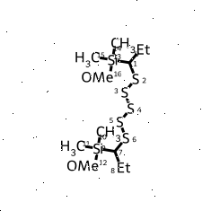 CCC(SSSSSC(CC)[Si](C)(C)OC)[Si](C)(C)OC